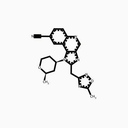 Cc1nc(Cc2nc3cnc4ccc(C#N)cc4c3n2[C@@H]2CCO[C@H](C)C2)no1